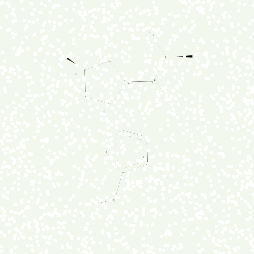 Cc1sc([C@@H]2C[C@@H](F)CN2C(=O)[C@H](C)N)cc1C(=O)O